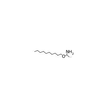 [CH2]C(N)OCCCCCCCCCC